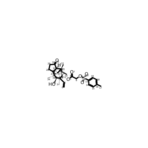 C=C[C@]1(C)[C@@H](OC(=O)COS(=O)(=O)c2ccc(C)cc2)C[C@]2(C)[C@H](C)CC[C@]3(CCC(=O)[C@@H]23)[C@@H](C)[C@@H]1O